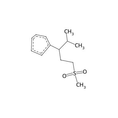 CC(C)C(CCS(C)(=O)=O)c1ccccc1